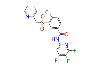 O=C(Nc1cc(F)c(F)c(F)n1)c1ccc(Cl)c(S(=O)(=O)Cc2ccccn2)c1